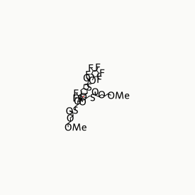 COCCOCC(=O)SCCOP(=O)(OCCSC(=O)COCCOC)C(F)(F)c1ccc2sc(C(=O)Oc3c(F)c(F)c(F)c(F)c3F)cc2c1